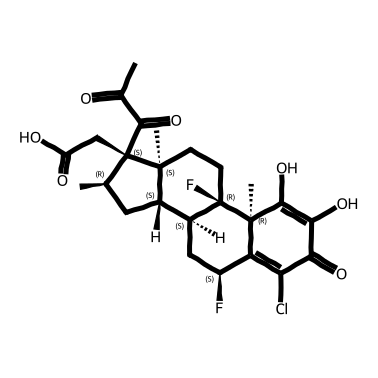 CC(=O)C(=O)[C@@]1(CC(=O)O)[C@H](C)C[C@H]2[C@@H]3C[C@H](F)C4=C(Cl)C(=O)C(O)=C(O)[C@]4(C)[C@@]3(F)CC[C@@]21C